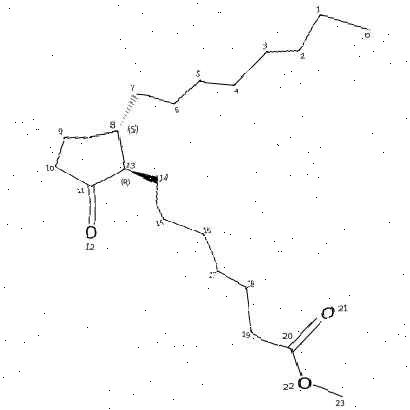 CCCCCCCC[C@H]1CCC(=O)[C@@H]1CCCCCCC(=O)OC